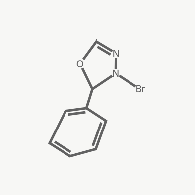 BrN1N=[C]OC1c1ccccc1